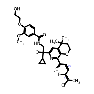 C=C(/C=C\C(F)=C(/C)Cl)c1nc(C(O)(CNC(=O)c2ccc(OCCO)c(OC)c2)C2CC2)cc2c1OCCC2(C)C